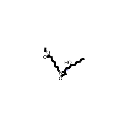 CCCCC[C@H](O)/C=C/C1CC(=O)N1CCCCCCC(=O)OCC